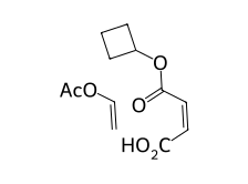 C=COC(C)=O.O=C(O)/C=C\C(=O)OC1CCC1